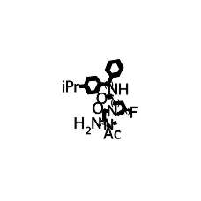 CC(=O)N(C)[C@H](N)C(=O)N1C[C@H](F)C[C@H]1C(=O)N[C@@H](c1ccccc1)c1ccc(C(C)C)cc1